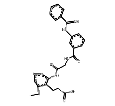 CCc1ccnc(NC(=O)CNC(=O)c2cccc(NC(=N)c3ccccc3)c2)c1CCC(=O)O